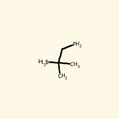 BC(C)(C)CP